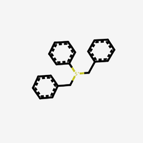 c1ccc(C[S+](Cc2ccccc2)c2ccccc2)cc1